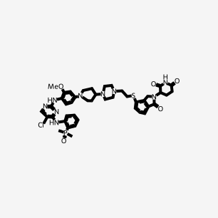 COc1cc(N2CCC(N3CCN(CCSc4cccc5c4CN(C4CCC(=O)NC4=O)C5=O)CC3)CC2)ccc1Nc1ncc(Cl)c(Nc2ccccc2P(C)(C)=O)n1